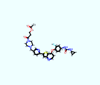 CCC(=O)OCCC(=O)N1CCN(Cc2ccc(-c3cc4nccc(Oc5ccc(NC(=O)NC6CC6)cc5F)c4s3)nc2)CC1